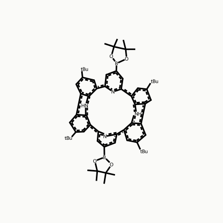 CC(C)(C)c1cc2c3cc(B4OC(C)(C)C(C)(C)O4)cc(n3)c3cc(C(C)(C)C)cc4c5cc(C(C)(C)C)cc(c6cc(B7OC(C)(C)C(C)(C)O7)cc(n6)c6cc(C(C)(C)C)cc7c(c1)c2[nH]c67)c5[nH]c34